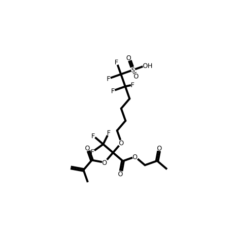 C=C(C)C(=O)OC(OCCCCC(F)(F)C(F)(F)S(=O)(=O)O)(C(=O)OCC(C)=O)C(F)(F)F